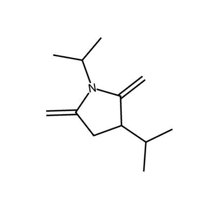 C=C1CC(C(C)C)C(=C)N1C(C)C